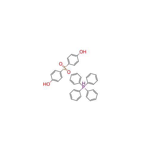 O=S(=O)(c1ccc(O)cc1)c1ccc(O)cc1.c1ccc([PH](c2ccccc2)(c2ccccc2)c2ccccc2)cc1